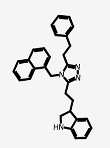 c1ccc(CCc2nnc(CCC3CNc4ccccc43)n2Cc2cccc3ccccc23)cc1